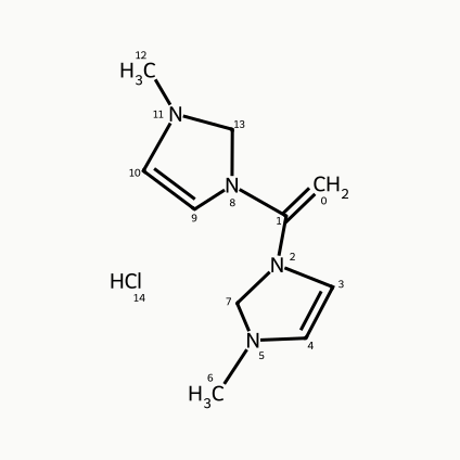 C=C(N1C=CN(C)C1)N1C=CN(C)C1.Cl